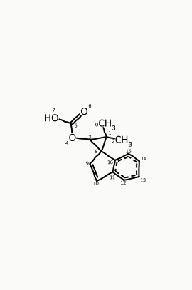 CC1(C)C(OC(=O)O)C12C=Cc1ccccc12